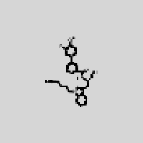 COc1ccc(-c2cccc(C(=O)N[C@@H](CO)Cc3cn(CCCCC#N)c4ccccc34)c2)cc1F